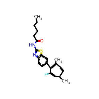 CCCCCC(=O)Nc1nc2ccc(C3=C(C)C=CC(C)C=C3F)cc2s1